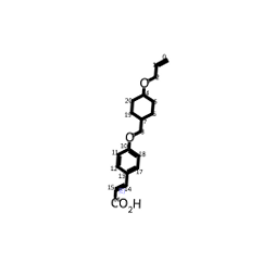 C=CCOC1CCC(COc2ccc(/C=C/C(=O)O)cc2)CC1